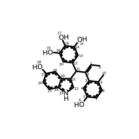 C/C=C(\c1cc(O)ccc1C)C(c1cc(O)c(O)c(O)c1)c1c[nH]c2ccc(O)cc12